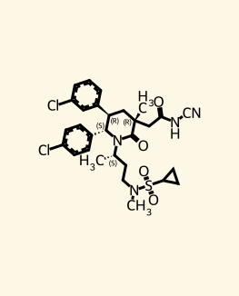 C[C@@H](CCN(C)S(=O)(=O)C1CC1)N1C(=O)[C@@](C)(CC(=O)NC#N)C[C@H](c2cccc(Cl)c2)[C@H]1c1ccc(Cl)cc1